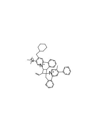 C=CC1C2C(c3ccccc3-c3cc(CC4CCCCC4)c([Si](C)(C)C)c[n+]32)C12Cc1ccccc1-c1cc(-c3ccccc3)c(C)c[n+]12